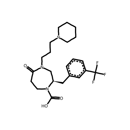 O=C1CCN(C(=O)O)[C@H](Cc2cccc(C(F)(F)F)c2)CN1CCCN1CCCCC1